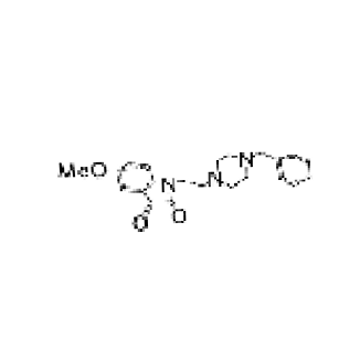 COc1ccc2c(c1)C(=O)C(=O)N2CCN1CCN(Cc2ccccc2)CC1